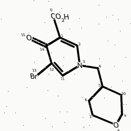 O=C(O)c1cn(CC2CCOCC2)cc(Br)c1=O